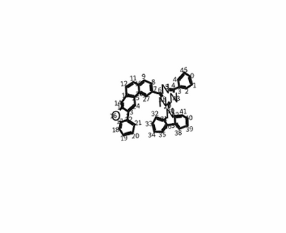 c1ccc(-c2nc(-c3ccc4ccc5cc6oc7ccccc7c6cc5c4c3)nc(-n3c4ccccc4c4ccccc43)n2)cc1